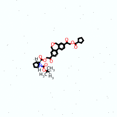 CC(C)(C)OC(=O)N1[C@@H]2CC[C@@H](C2)[C@H]1C(=O)OCC(=O)c1ccc2c(c1)COCc1cc(C(=O)COC(=O)C3CCCC3)ccc1-2